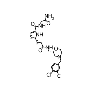 NC(=O)CNC(=O)C1=CSC(SCC(=O)NC[C@H]2CN(Cc3ccc(Cl)c(Cl)c3)CCO2)N1